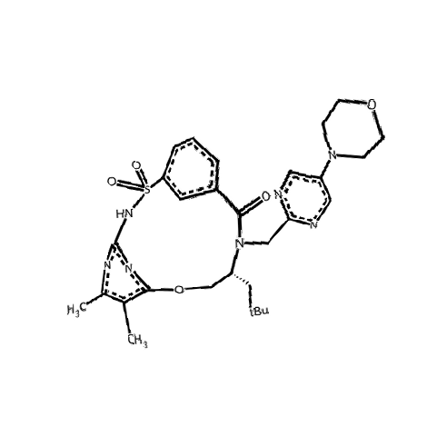 Cc1nc2nc(c1C)OC[C@@H](CC(C)(C)C)N(Cc1ncc(N3CCOCC3)cn1)C(=O)c1cccc(c1)S(=O)(=O)N2